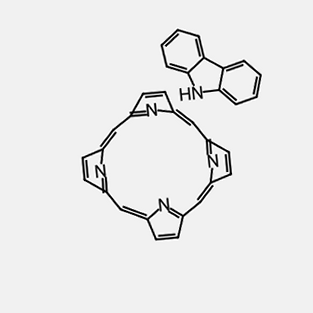 C1=CC2=NC1=CC1=NC(=CC3=NC(=CC4=NC(=C2)C=C4)C=C3)C=C1.c1ccc2c(c1)[nH]c1ccccc12